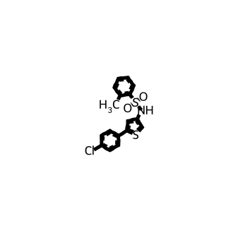 Cc1ccccc1S(=O)(=O)Nc1csc(-c2ccc(Cl)cc2)c1